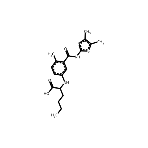 CCCCC(Nc1ccc(C)c(C(=O)Nc2nc(C)c(C)s2)c1)C(=O)O